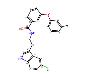 Cc1cccc(Oc2cccc(C(=O)NCCc3c[nH]c4ccc(Cl)cc34)c2)c1